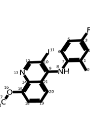 Cc1cc(F)ccc1Nc1c(I)cnc2c(OC(F)(F)F)cccc12